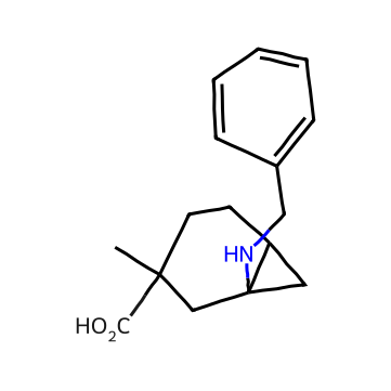 CC1(C(=O)O)CCC2CC2(NCc2ccccc2)C1